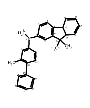 Cc1cc(N(C)c2ccc3c(c2)C(C)(C)C2C=CC=CC32)ccc1-c1ccccc1